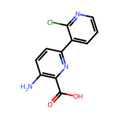 Nc1ccc(-c2cccnc2Cl)nc1C(=O)O